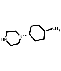 C[C@H]1CC[C@H](N2CCNCC2)CC1